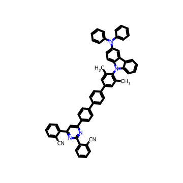 Cc1cc(-c2ccc(-c3ccc(-c4cc(-c5ccccc5C#N)nc(-c5ccccc5C#N)n4)cc3)cc2)cc(C)c1-n1c2ccccc2c2cc(N(c3ccccc3)c3ccccc3)ccc21